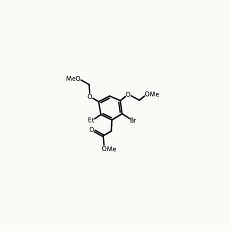 CCc1c(OCOC)cc(OCOC)c(Br)c1CC(=O)OC